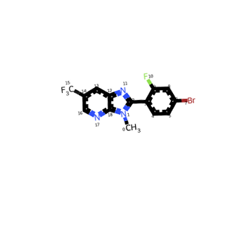 Cn1c(-c2ccc(Br)cc2F)nc2cc(C(F)(F)F)cnc21